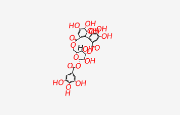 O=C1OCC2O[C@@H](OC(=O)c3cc(O)c(O)c(O)c3)C(O)C(OC(=O)c3cc(O)c(O)c(O)c3C3=C1C=C(O)C(O)C3O)[C@@H]2O